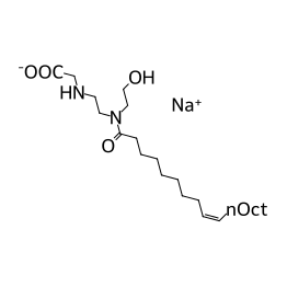 CCCCCCCC/C=C\CCCCCCCC(=O)N(CCO)CCNCC(=O)[O-].[Na+]